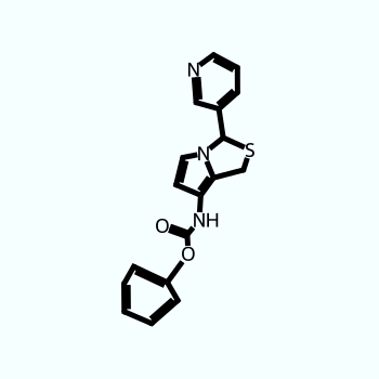 O=C(Nc1ccn2c1CSC2c1cccnc1)Oc1ccccc1